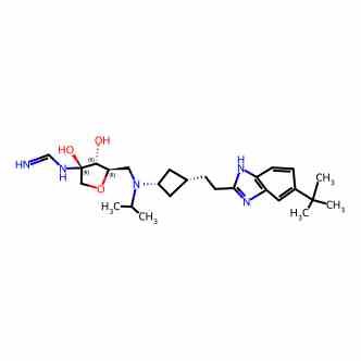 CC(C)N(C[C@H]1OC[C@](O)(NC=N)[C@@H]1O)[C@H]1C[C@@H](CCc2nc3cc(C(C)(C)C)ccc3[nH]2)C1